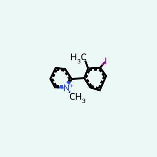 Cc1c(I)cccc1-c1cccc[n+]1C